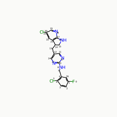 Fc1ccc(Cl)c(CNc2ncc(CC3CNc4ncc(Cl)cc43)cn2)c1